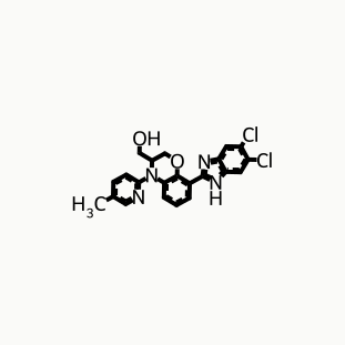 Cc1ccc(N2c3cccc(-c4nc5cc(Cl)c(Cl)cc5[nH]4)c3OCC2CO)nc1